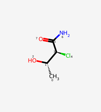 C[C@H](O)[C@H](Cl)C(N)=O